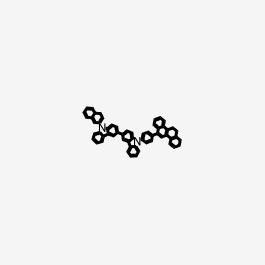 C1=CC2=CC(n3c4ccccc4c4cc(-c5ccc6c(c5)c5ccccc5n6-c5ccc(-c6cc7c(c8ccccc68)CCC6=C7C=CCC6)cc5)ccc43)=CCC2C=C1